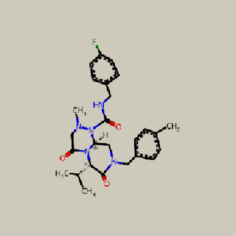 Cc1ccc(CN2C[C@H]3N(C(=O)CN(C)N3C(=O)NCc3ccc(F)cc3)[C@@H](C(C)C)C2=O)cc1